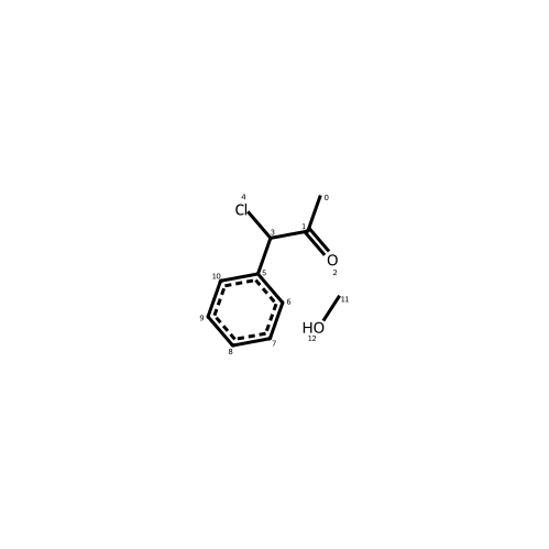 CC(=O)C(Cl)c1ccccc1.CO